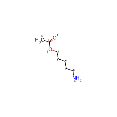 CC(=O)OCCCCCN